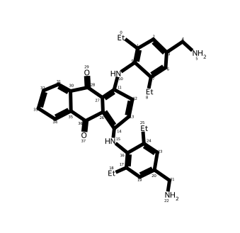 CCc1cc(CN)cc(CC)c1Nc1ccc(Nc2c(CC)cc(CN)cc2CC)c2c1C(=O)c1ccccc1C2=O